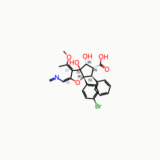 C=N/C=C1/O[C@@]2(c3ccc(Br)cc3)[C@H](c3ccccc3)[C@@H](C(=O)O)[C@@H](O)[C@@]2(O)/C1=C(/C)OC